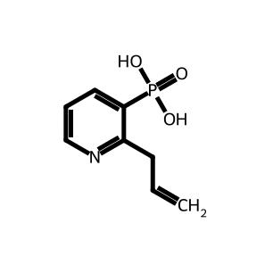 C=CCc1ncccc1P(=O)(O)O